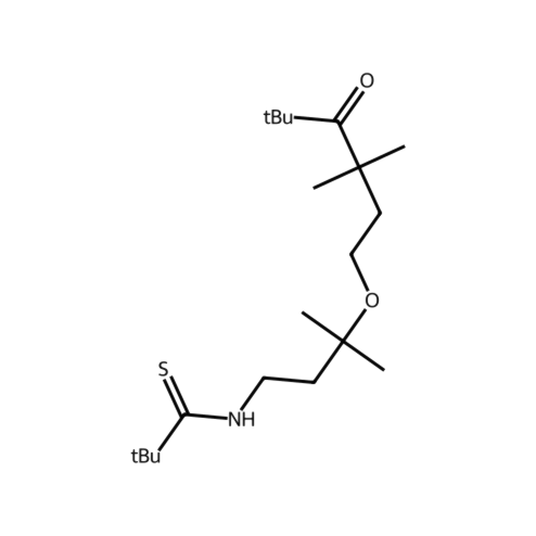 CC(C)(CCNC(=S)C(C)(C)C)OCCC(C)(C)C(=O)C(C)(C)C